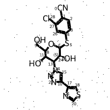 N#Cc1ccc(SC2OC(CO)C(O)C(n3cc(-c4cscn4)nn3)[C@@H]2O)cc1Cl